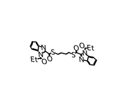 CCC(=O)n1c(C(=O)SCCCCSC(=O)c2nc3ccccc3n2C(=O)CC)nc2ccccc21